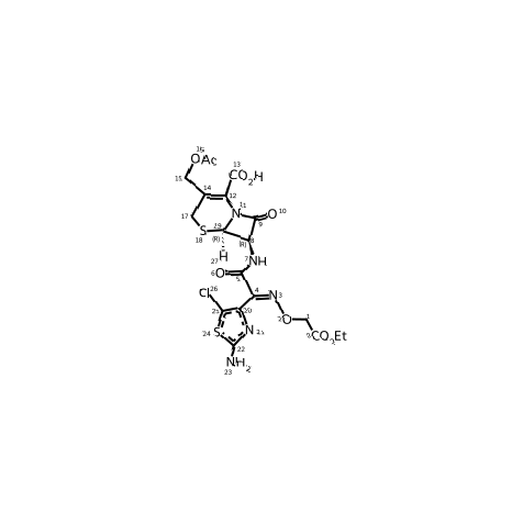 CCOC(=O)CON=C(C(=O)N[C@@H]1C(=O)N2C(C(=O)O)=C(COC(C)=O)CS[C@H]12)c1nc(N)sc1Cl